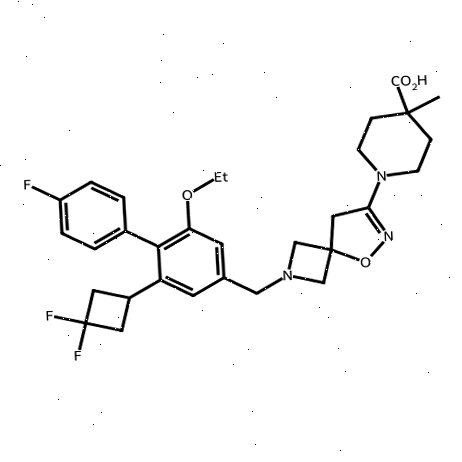 CCOc1cc(CN2CC3(CC(N4CCC(C)(C(=O)O)CC4)=NO3)C2)cc(C2CC(F)(F)C2)c1-c1ccc(F)cc1